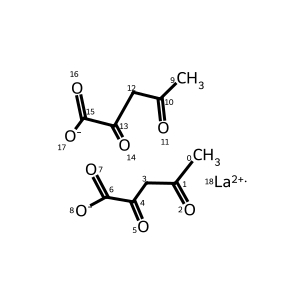 CC(=O)CC(=O)C(=O)[O-].CC(=O)CC(=O)C(=O)[O-].[La+2]